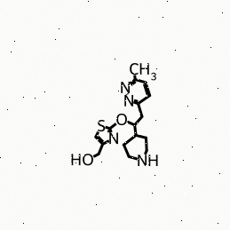 Cc1ccc(CC(Oc2nc(CO)cs2)C2CCNCC2)nn1